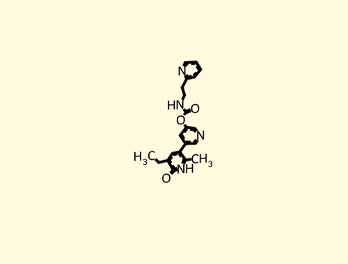 CCc1cc(-c2cncc(OC(=O)NCCc3ccccn3)c2)c(C)[nH]c1=O